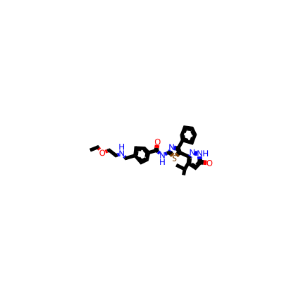 CCOCCNCc1ccc(C(=O)Nc2nc(-c3ccccc3)c(-c3n[nH]c(=O)cc3C(C)C)s2)cc1